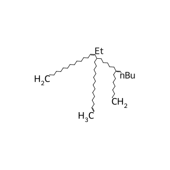 C=CCCCCCCCCCCCC=C(CC)C(CCCCCCCCCCCCC=CC)CCCCCC(=CCCCC)CCCCCCC=C